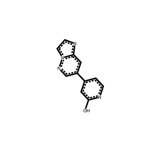 Oc1cc(-c2cnn3ccnc3c2)ccn1